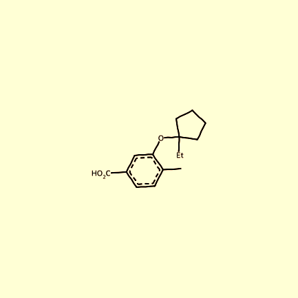 CCC1(Oc2cc(C(=O)O)ccc2C)CCCC1